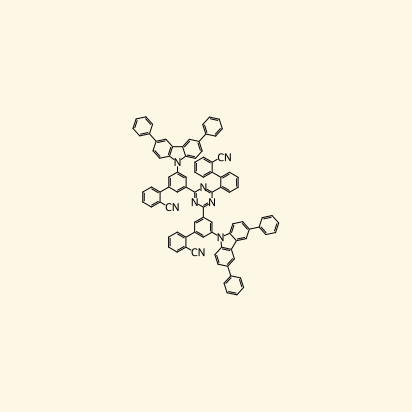 N#Cc1ccccc1-c1cc(-c2nc(-c3cc(-c4ccccc4C#N)cc(-n4c5ccc(-c6ccccc6)cc5c5cc(-c6ccccc6)ccc54)c3)nc(-c3ccccc3-c3ccccc3C#N)n2)cc(-n2c3ccc(-c4ccccc4)cc3c3cc(-c4ccccc4)ccc32)c1